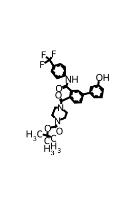 CC(C)(C)OC(=O)N1CCN(C(=O)c2ccc(-c3cccc(O)c3)cc2C(=O)Nc2ccc(C(F)(F)F)cc2)CC1